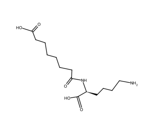 NCCCC[C@H](NC(=O)CCCCCCC(=O)O)C(=O)O